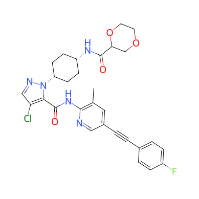 Cc1cc(C#Cc2ccc(F)cc2)cnc1NC(=O)c1c(Cl)cnn1[C@H]1CC[C@@H](NC(=O)C2COCCO2)CC1